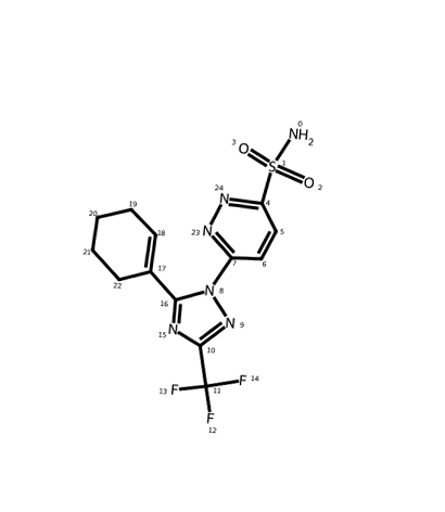 NS(=O)(=O)c1ccc(-n2nc(C(F)(F)F)nc2C2=CCCCC2)nn1